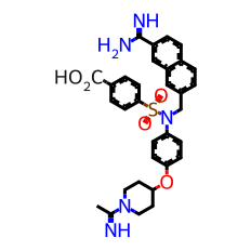 CC(=N)N1CCC(Oc2ccc(N(Cc3ccc4ccc(C(=N)N)cc4c3)S(=O)(=O)c3ccc(C(=O)O)cc3)cc2)CC1